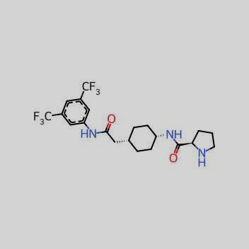 O=C(C[C@H]1CC[C@@H](NC(=O)[C@H]2CCCN2)CC1)Nc1cc(C(F)(F)F)cc(C(F)(F)F)c1